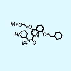 COCCOc1cc(C(=O)N(C(C)C)[C@@H]2CCCNC2)nc2c(OCCC3CCCCC3)cccc12